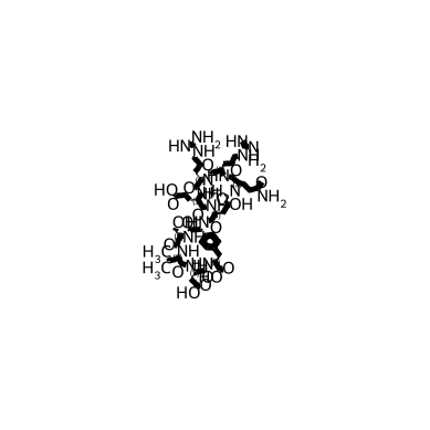 CC(C)[C@H](NC(=O)[C@H](CO)NC(=O)CNC(=O)[C@H](CC(=O)O)NC(=O)[C@H](CCC(=O)O)NC(=O)[C@H](CCCNC(=N)N)NC(=O)[C@H](CCCNC(=N)N)NC(=O)[C@@H](N)CCC(N)=O)C(=O)N[C@@H](CC(=O)O)C(=O)N[C@@H](Cc1ccccc1)C(=O)O